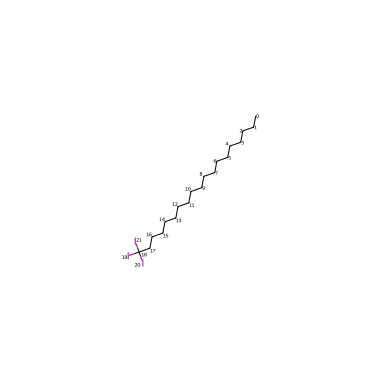 CCCCCCCCCCCCCCCCCCC(I)(I)I